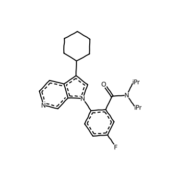 CC(C)N(C(=O)c1cc(F)ccc1-n1cc(C2CCCCC2)c2ccncc21)C(C)C